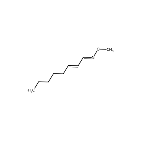 [CH2]CCCCC=CC=NOC